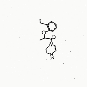 CCc1ccccc1OC(C)C(=O)N1CCNCC1